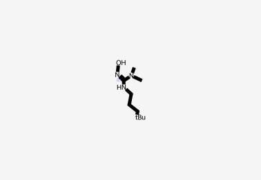 CN(C)/C(=N\O)NCCCC(C)(C)C